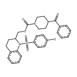 O=C(c1ccccc1)C1CCN(C(=O)OCC2CCc3ccccc3N2S(=O)(=O)c2ccc(Cl)cc2)CC1